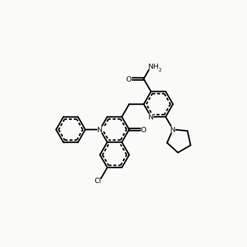 NC(=O)c1ccc(N2CCCC2)nc1Cc1cn(-c2ccccc2)c2cc(Cl)ccc2c1=O